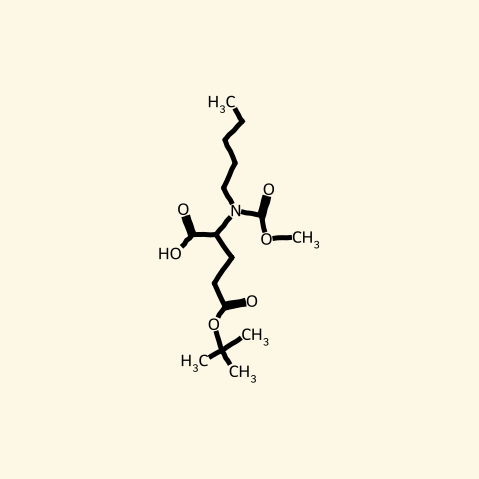 CCCCCN(C(=O)OC)C(CCC(=O)OC(C)(C)C)C(=O)O